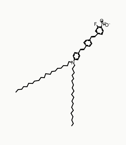 CCCCCCCCCCCCCCCCCCCCN(CCCCCCCCCCCCCCCCCCCC)c1ccc(C=Cc2ccc(C=Cc3ccc([N+](=O)[O-])c(F)c3)cc2)cc1